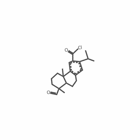 CC(C)c1cc2c(cc1C(=O)Cl)C1(C)CCCC(C)(C=O)C1CC2